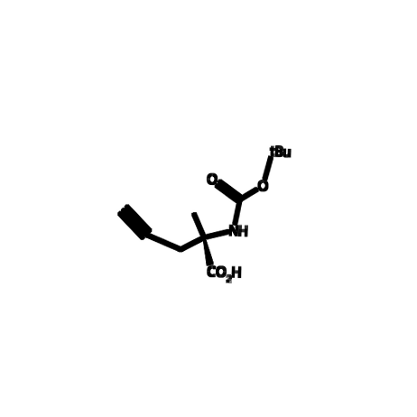 C#CC[C@](C)(NC(=O)OC(C)(C)C)C(=O)O